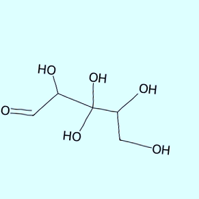 O=CC(O)C(O)(O)C(O)CO